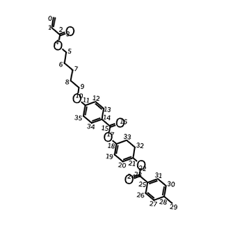 C=CC(=O)OCCCCCOc1ccc(C(=O)OC2=CC=C(OC(=O)c3ccc(C)cc3)CC2)cc1